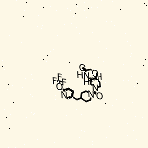 O=C1CO[C@H]2CCN(C(=O)N3CCC(Cc4ccc(OC(F)(F)F)nc4)CC3)C[C@H]2N1